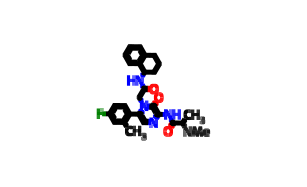 CNC(C)C(=O)Nc1ncc(-c2ccc(F)cc2C)n(CC(=O)NC2CCCc3ccccc32)c1=O